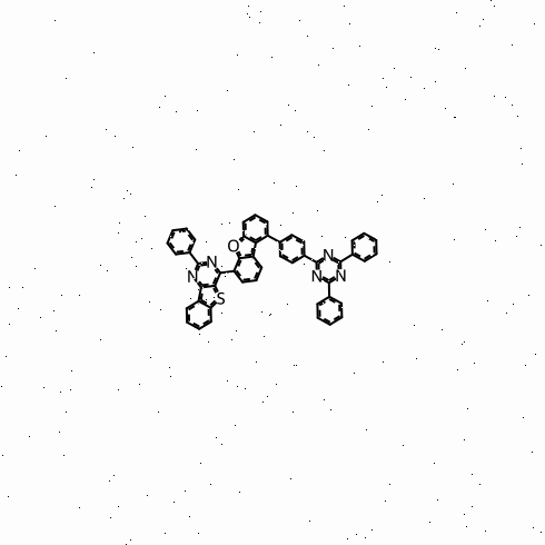 c1ccc(-c2nc(-c3ccccc3)nc(-c3ccc(-c4cccc5oc6c(-c7nc(-c8ccccc8)nc8c7sc7ccccc78)cccc6c45)cc3)n2)cc1